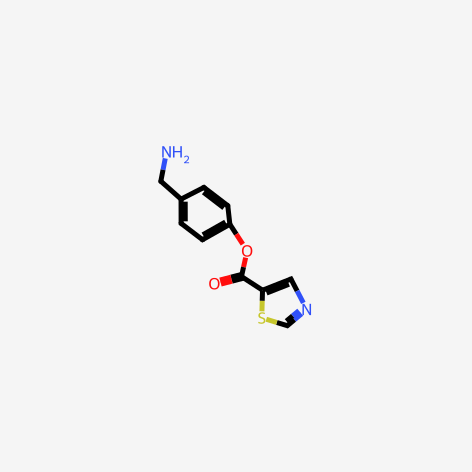 NCc1ccc(OC(=O)c2cncs2)cc1